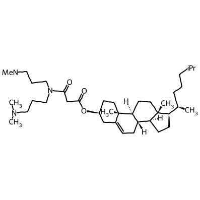 CNCCCN(CCCN(C)C)C(=O)CC(=O)O[C@H]1CC[C@@]2(C)C(=CC[C@H]3[C@@H]4CC[C@H]([C@H](C)CCCC(C)C)[C@@]4(C)CC[C@@H]32)C1